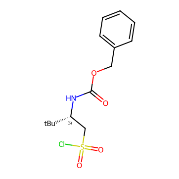 CC(C)(C)[C@@H](CS(=O)(=O)Cl)NC(=O)OCc1ccccc1